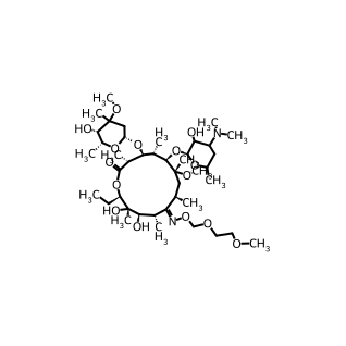 CC[C@H]1OC(=O)[C@H](C)[C@@H](O[C@H]2CC(C)(OC)[C@@H](O)[C@@H](C)O2)[C@H](C)[C@@H](O[C@@H]2OC(C)CC(N(C)C)C2O)[C@](C)(OC)C[C@@H](C)/C(=N\OCOCCOC)[C@H](C)[C@@H](O)[C@]1(C)O